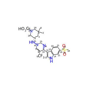 CC1(C)C[C@H](NN2C=C(C(F)(F)F)C(c3c[nH]c4cc(S(C)(=O)=O)ccc34)=NC2)CN(C(=O)O)C1